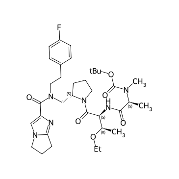 CCO[C@H](C)[C@H](NC(=O)[C@H](C)N(C)C(=O)OC(C)(C)C)C(=O)N1CCC[C@H]1CN(CCc1ccc(F)cc1)C(=O)c1cn2c(n1)CCC2